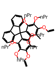 C=COc1c(C)c(OCCC)c(C2(c3c(OCCC)c(C)c(OC=C)c(OCCC)c3OCCC)c3ccccc3-c3ccccc32)c(OCCC)c1OCCC